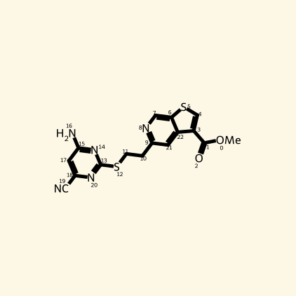 COC(=O)c1csc2cnc(CCSc3nc(N)cc(C#N)n3)cc12